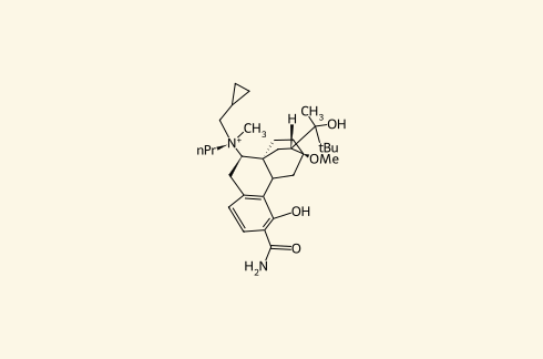 CCC[N@+](C)(CC1CC1)[C@@H]1Cc2ccc(C(N)=O)c(O)c2C2C[C@@]3(OC)CC[C@]21C[C@@H]3C(C)(O)C(C)(C)C